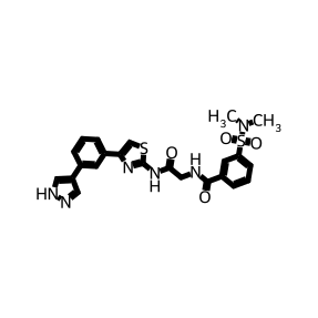 CN(C)S(=O)(=O)c1cccc(C(=O)NCC(=O)Nc2nc(-c3cccc(-c4cn[nH]c4)c3)cs2)c1